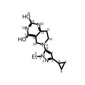 CCn1nc(C2CC2)cc1N1CCc2nc(O)nc(O)c2C1